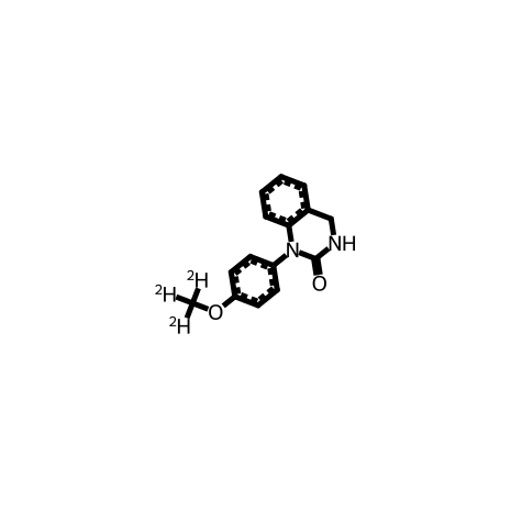 [2H]C([2H])([2H])Oc1ccc(N2C(=O)NCc3ccccc32)cc1